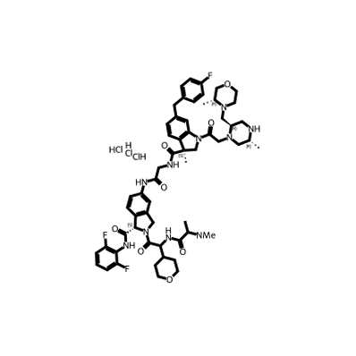 CNC(C)C(=O)NC(C(=O)N1Cc2cc(NC(=O)CNC(=O)[C@]3(C)CN(C(=O)CN4C[C@@H](C)NC[C@@H]4CN4CCOC[C@H]4C)c4cc(Cc5ccc(F)cc5)ccc43)ccc2[C@H]1C(=O)Nc1c(F)cccc1F)C1CCOCC1.Cl.Cl.Cl